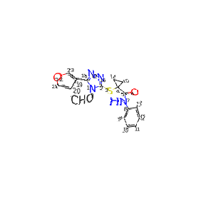 O=Cn1c(SC2(C(=O)Nc3ccccc3)CC2)nnc1-c1ccoc1